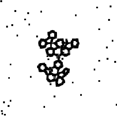 CC1(C)c2ccccc2-c2ccc(N(c3ccc4c(c3)-n3c5ccccc5c5cccc(c53)C43c4ccccc4-c4ccccc43)c3cccc4c3-c3ccccc3C43c4ccccc4-c4ccccc43)cc21